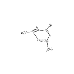 Cc1[c]c(Cl)cc(C)c1